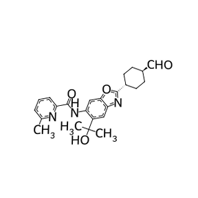 Cc1cccc(C(=O)Nc2cc3oc([C@H]4CC[C@H](C=O)CC4)nc3cc2C(C)(C)O)n1